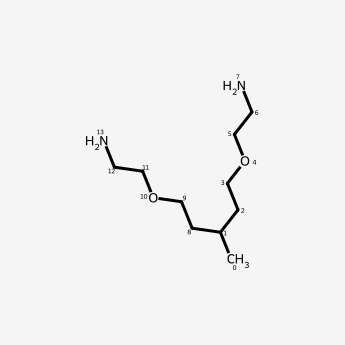 CC(CCOCCN)CCOCCN